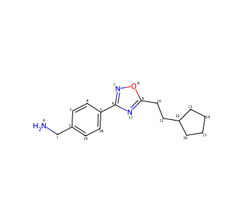 NCc1ccc(-c2noc(CCC3CCCC3)n2)cc1